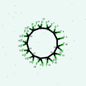 F[C]1C(F)(F)C(F)(F)C(F)(F)C(F)(F)C(F)(F)C(F)(F)C(F)(F)C(F)(F)C(F)(F)C(F)(F)C(F)(F)C1(F)F